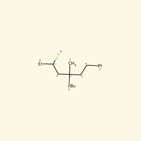 CCCCC(C)(CCC(C)C)CC(F)CC